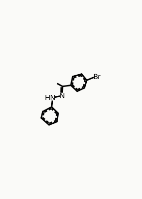 C/C(=N\Nc1ccccc1)c1ccc(Br)cc1